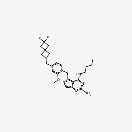 CCCCNc1nc(N)nc2cnn(Cc3ccc(CN4CC5(C4)CC(F)(F)C5)cc3OC)c12